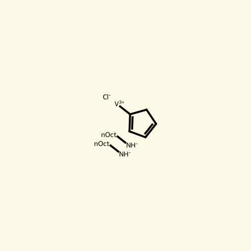 CCCCCCCC[NH-].CCCCCCCC[NH-].[Cl-].[V+3][C]1=CC=CC1